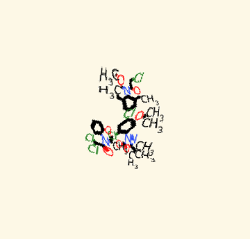 CC(C)Oc1cc(-n2nc(C(C)(C)C)oc2=O)c(Cl)cc1Cl.CC1COc2ccccc2N1C(=O)C(Cl)Cl.CCc1cccc(CC)c1N(COC)C(=O)CCl